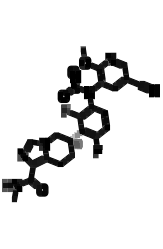 CNC(=O)c1ncn2c1CC[C@@H](c1c(F)ccc(N(c3cc(C#N)cnc3OC)[SH](=O)=O)c1F)C2